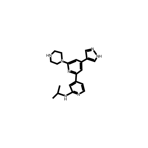 CC(C)Nc1cc(-c2cc(-c3cn[nH]c3)cc(N3CCNCC3)n2)ccn1